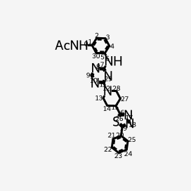 CC(=O)Nc1cccc(Nc2ncnc(N3CCC(c4nnc(-c5ccccc5)s4)CC3)n2)c1